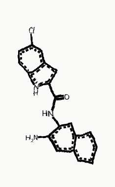 Nc1cc2ccccc2cc1NC(=O)c1cc2cc(Cl)ccc2[nH]1